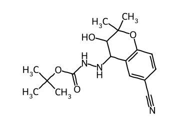 CC(C)(C)OC(=O)NNC1c2cc(C#N)ccc2OC(C)(C)C1O